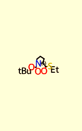 CCSC(=O)[C@@H]1CCCN1C(=O)OC(C)(C)C